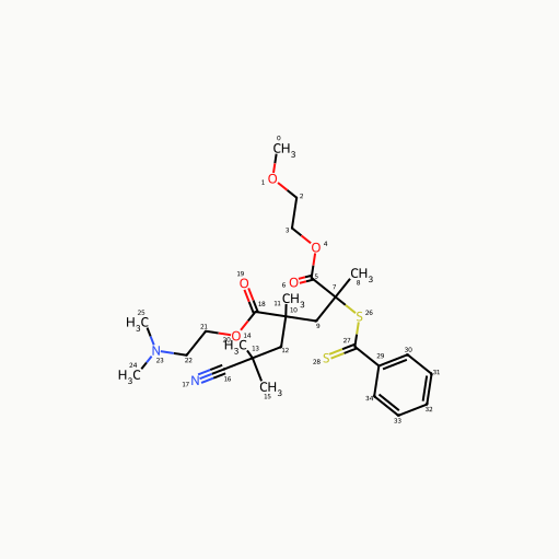 COCCOC(=O)C(C)(CC(C)(CC(C)(C)C#N)C(=O)OCCN(C)C)SC(=S)c1ccccc1